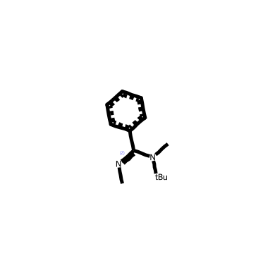 C/N=C(/c1ccccc1)N(C)C(C)(C)C